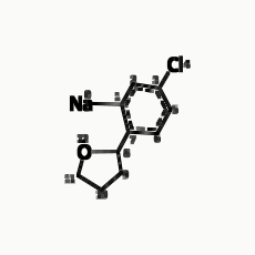 [Na][c]1cc(Cl)ccc1C1CCCO1